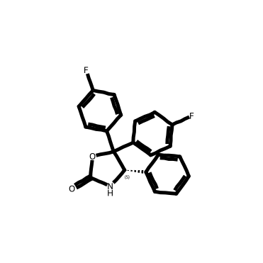 O=C1N[C@@H](c2ccccc2)C(c2ccc(F)cc2)(c2ccc(F)cc2)O1